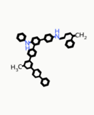 C=C(/C=C\C=C/Nc1ccc(-c2ccc(Nc3ccccc3)c(-c3ccc(C4=CC(C)CC(C5=CCC(c6ccccc6)C=C5)=C4)cc3)c2)cc1)c1ccccc1